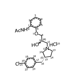 CC(=O)Nc1ccccc1OC[C@H](O)CN1CC[C@H](Cc2ccc(Cl)cc2)C1.Cl